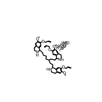 C=CCOc1cc2c(cc1OC)CCNC2CCCCC(CCC1NCCc2cc(OC)c(OCC=C)cc21)CCC1NCCc2cc(OC)c(OCC=C)cc21.Cl.Cl.Cl.O.O.O